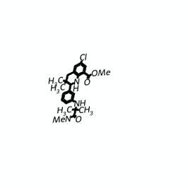 CNC(=O)C(C)(C)Nc1cccc(C2Nc3c(cc(Cl)cc3C(=O)OC)CC2(C)C)c1